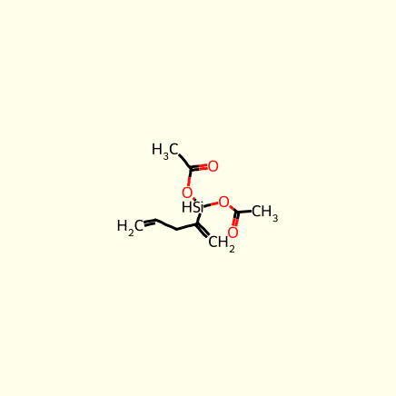 C=CCC(=C)[SiH](OC(C)=O)OC(C)=O